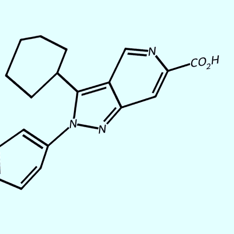 O=C(O)c1cc2nn(-c3ccccc3)c(C3CCCCC3)c2cn1